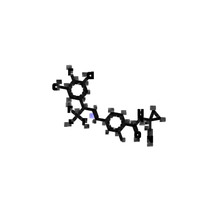 Cc1cc(/C=C/C(c2cc(Cl)c(F)c(Cl)c2)C(F)(F)F)ccc1C(=O)NC1(C#N)CC1